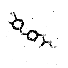 CCCCCNC(=O)Nc1ccc(Oc2ccc(N)c(F)c2)cc1